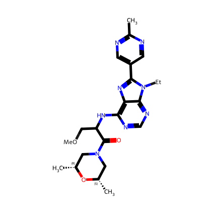 CCn1c(-c2cnc(C)nc2)nc2c(NC(COC)C(=O)N3C[C@@H](C)O[C@@H](C)C3)ncnc21